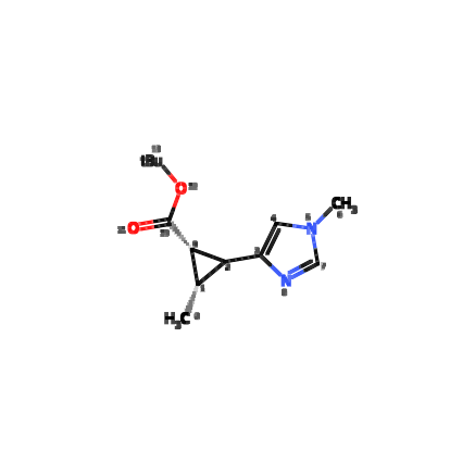 C[C@H]1C(c2cn(C)cn2)[C@H]1C(=O)OC(C)(C)C